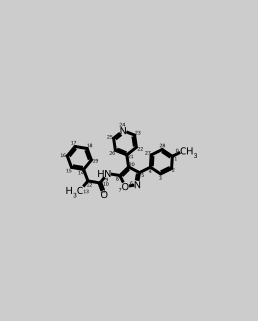 Cc1ccc(-c2noc(NC(=O)C(C)c3ccccc3)c2-c2ccncc2)cc1